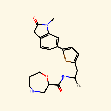 CN1C(=O)Cc2ccc(-c3ccc(CC(C#N)NC(=O)C4CNCCCO4)s3)cc21